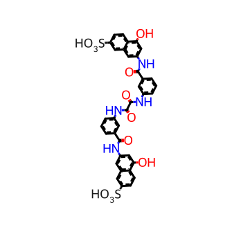 O=C(Nc1cccc(C(=O)Nc2cc(O)c3ccc(S(=O)(=O)O)cc3c2)c1)C(=O)Nc1cccc(C(=O)Nc2cc(O)c3ccc(S(=O)(=O)O)cc3c2)c1